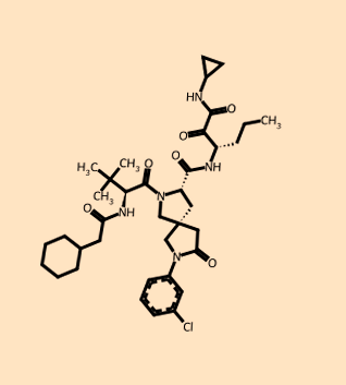 CCC[C@H](NC(=O)[C@@H]1C[C@@]2(CC(=O)N(c3cccc(Cl)c3)C2)CN1C(=O)[C@@H](NC(=O)CC1CCCCC1)C(C)(C)C)C(=O)C(=O)NC1CC1